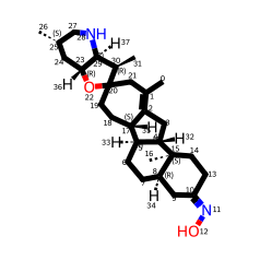 CC1=C2C[C@H]3[C@@H](CC[C@@H]4CC(=NO)CC[C@@]43C)[C@@H]2CCC2(C1)O[C@@H]1C[C@H](C)CN[C@H]1[C@H]2C